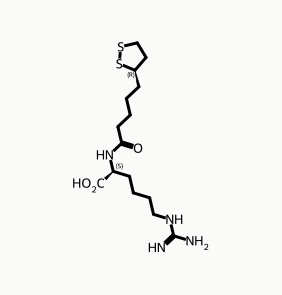 N=C(N)NCCCC[C@H](NC(=O)CCCC[C@@H]1CCSS1)C(=O)O